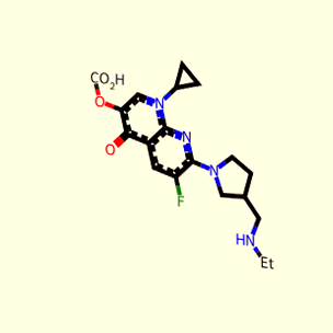 CCNCC1CCN(c2nc3c(cc2F)c(=O)c(OC(=O)O)cn3C2CC2)C1